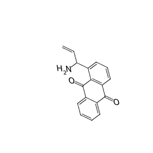 C=CC(N)c1cccc2c1C(=O)c1ccccc1C2=O